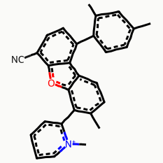 Cc1ccc(-c2ccc(C#N)c3oc4c(-c5cccc[n+]5C)c(C)ccc4c23)c(C)c1